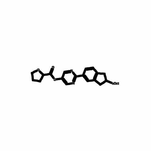 CCCCCCCCC1Cc2ccc(-c3ncc(OC(=O)C4CCCO4)cn3)cc2C1